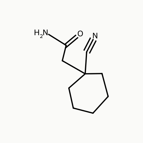 N#CC1(CC(N)=O)CCCCC1